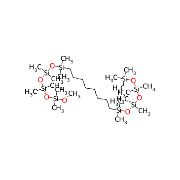 CO[Si](C)(C)O[Si](C)(C)O[Si](C)(C)O[Si](C)(C)CCCCCCCC[Si](C)(C)O[Si](C)(C)O[Si](C)(C)O[Si](C)(C)C